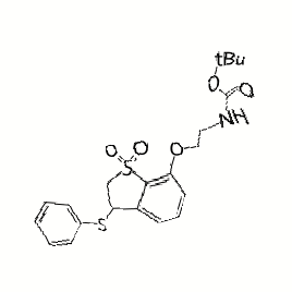 CC(C)(C)OC(=O)NCCOc1cccc2c1S(=O)(=O)CC2Sc1ccccc1